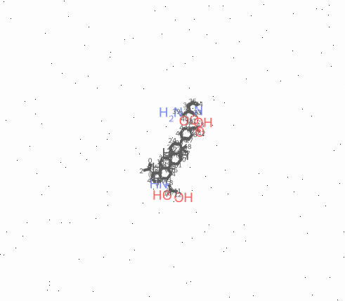 C=C(C)[C@@H]1CC[C@]2(NC[C@H](O)CO)CC[C@]3(C)[C@H](CC[C@@H]4[C@@]5(C)CC=C(C6=CC[C@](COc7ncccc7C(N)=O)(C(=O)O)CC6)C(C)(C)[C@@H]5CC[C@]43C)[C@@H]12